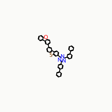 c1ccc(-c2ccc(-c3nc(-c4cccc(-c5ccccc5)c4)nc(-c4ccc5c(c4)sc4ccc(-c6ccc7oc8ccccc8c7c6)cc45)n3)cc2)cc1